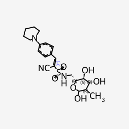 C[C@H]1C(O)O[C@H](CNS(=O)(=O)/C(C#N)=C/c2ccc(N3CCCCC3)cc2)[C@@H](O)[C@@H]1O